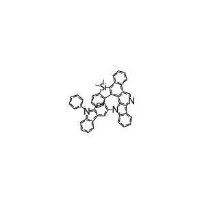 C[Si]1(C)c2ccccc2-c2c1c1ccccc1c1cnc3c4ccccc4n(-c4ccc5c(c4)c4ccccc4n5-c4ccccc4)c3c21